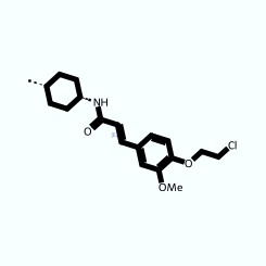 COc1cc(/C=C/C(=O)N[C@H]2CC[C@@H](C)CC2)ccc1OCCCl